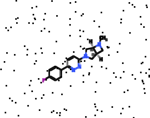 CN1C[C@H]2CN(c3ccc(-c4ccc(I)cc4)nn3)C[C@H]21